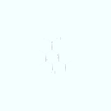 Cc1c(C(=O)O)cc(C(C)C)c(O)c1C